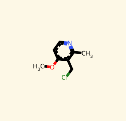 COc1ccnc(C)c1CCl